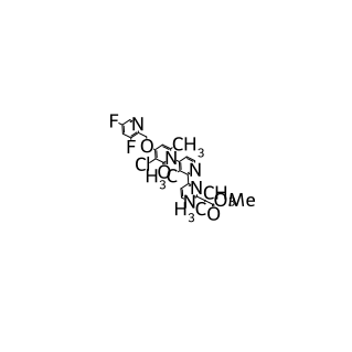 COC(=O)C(C)(C)c1nccc(-c2nccc(-n3c(C)cc(OCc4ncc(F)cc4F)c(Cl)c3=O)c2C)n1